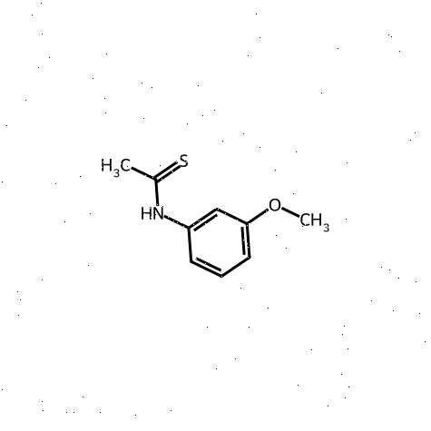 COc1cccc(NC(C)=S)c1